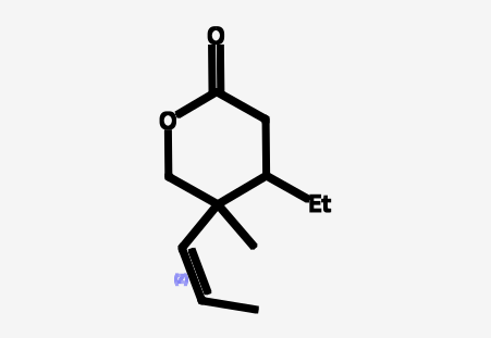 C/C=C\C1(C)COC(=O)CC1CC